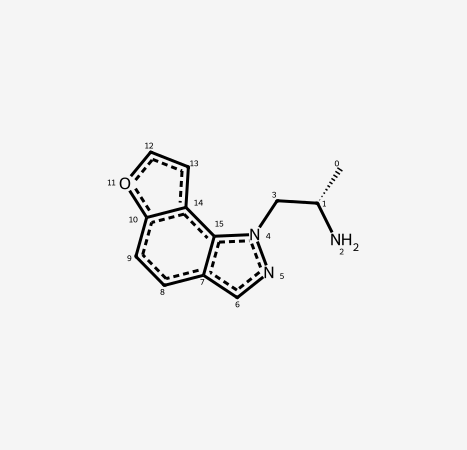 C[C@H](N)Cn1ncc2ccc3occc3c21